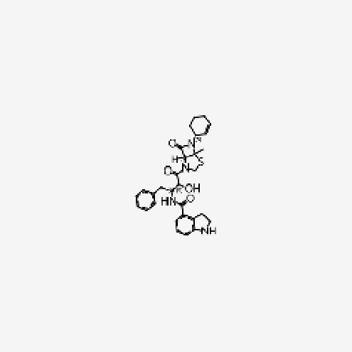 CC12SCN(C(=O)[C@@H](O)[C@H](Cc3ccccc3)NC(=O)c3cccc4c3CCN4)[C@@H]1C(=O)N2[C@@H]1C=CCCC1